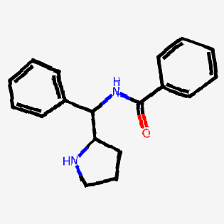 O=C(NC(c1ccccc1)C1CCCN1)c1ccccc1